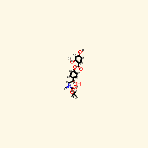 COc1ccc(C(=O)Oc2ccc(C(O)CN(C)C(=O)OC(C)(C)C)cc2)c(OC)c1